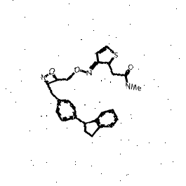 CNC(=O)CC1SC=CC1=NOCC1ON=C1Cc1ccc(C2CCc3ccccc32)cc1